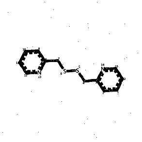 c1ccc(CSSCc2ccccn2)nc1